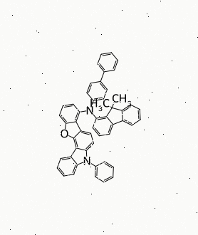 CC1(C)c2ccccc2-c2cccc(N(c3ccc(-c4ccccc4)cc3)c3cccc4oc5c(ccc6c5c5ccccc5n6-c5ccccc5)c34)c21